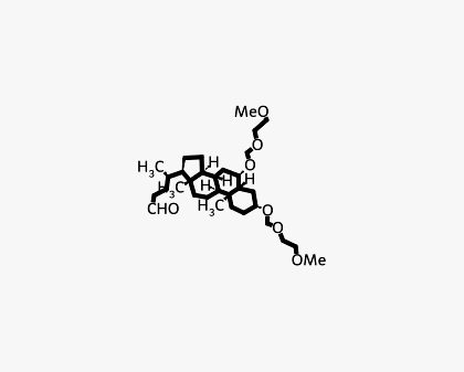 COCCOCO[C@@H]1CC[C@]2(C)[C@H]3CC[C@]4(C)[C@@H]([C@H](C)CCC=O)CC[C@H]4[C@@H]3C[C@H](OCOCCOC)[C@@H]2C1